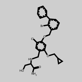 NC(=O)C(CO)NCc1cc(Cl)c(OCc2cccc(-c3ccccc3)c2Br)cc1OCC1CC1